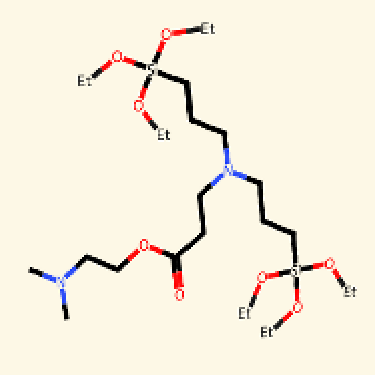 CCO[Si](CCCN(CCC[Si](OCC)(OCC)OCC)CCC(=O)OCCN(C)C)(OCC)OCC